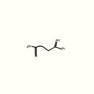 B=C(CCC(=C)C(C)C)C(C)C